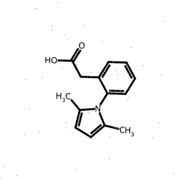 Cc1ccc(C)n1-c1ccccc1CC(=O)O